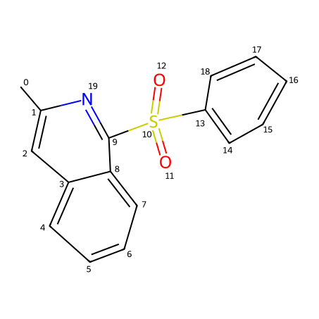 Cc1cc2ccccc2c(S(=O)(=O)c2ccccc2)n1